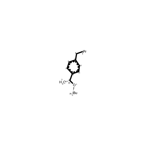 CC[C@@H](C)O[C@H](C)c1ccc(CC(C)C)cc1